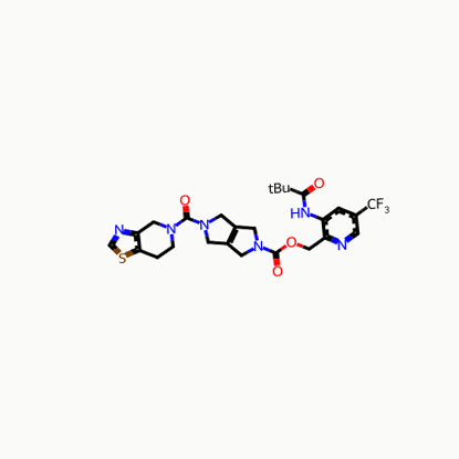 CC(C)(C)C(=O)Nc1cc(C(F)(F)F)cnc1COC(=O)N1CC2=C(C1)CN(C(=O)N1CCc3scnc3C1)C2